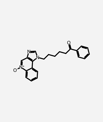 O=C(CCCCCn1cnc2c[n+]([O-])c3ccccc3c21)c1ccccc1